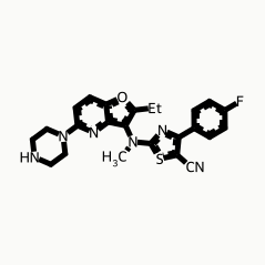 CCc1oc2ccc(N3CCNCC3)nc2c1N(C)c1nc(-c2ccc(F)cc2)c(C#N)s1